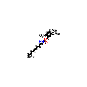 COc1cc(COC(=O)NCCCCCCCCCCSC)c([N+](=O)[O-])cc1OC